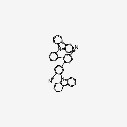 N#Cc1ccc(-c2ccc(C#N)c(-n3c4c(c5ccccc53)CCC=C4)c2)c(-c2ccccc2-n2c3ccccc3c3ccccc32)c1